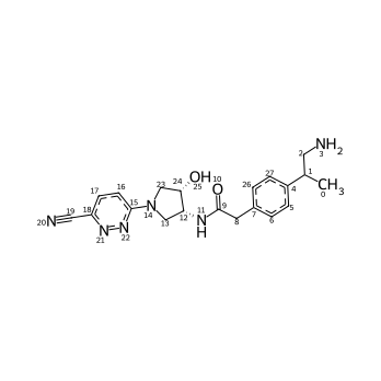 CC(CN)c1ccc(CC(=O)N[C@@H]2CN(c3ccc(C#N)nn3)C[C@@H]2O)cc1